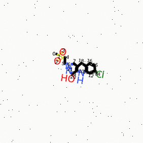 CS(=O)(=O)CCN1CC2=C(Nc3cc(Cl)ccc3C2)C(O)=N1